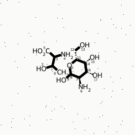 CC(O)C(N)C(=O)O.N[C@H]1C(O)O[C@H](CO)[C@H](O)[C@@H]1O